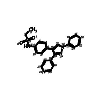 CCS(=O)(=O)Nc1ccc(-c2cn(-c3ccccc3)nc2-c2ccncc2)cc1